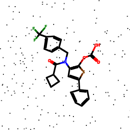 O=C(O)Oc1sc(-c2ccccc2)cc1N(Cc1ccc(C(F)(F)F)cc1)C(=O)C1CCC1